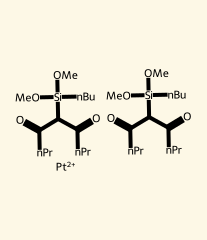 CCCC[Si](OC)(OC)C(C(=O)CCC)C(=O)CCC.CCCC[Si](OC)(OC)C(C(=O)CCC)C(=O)CCC.[Pt+2]